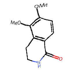 COc1ccc2c(c1OC)CCNC2=O